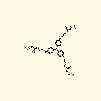 C=CC(=O)OCCOc1ccc(C(c2ccc(OCCOC(=O)C=C)cc2)c2ccc(OCCOC(=O)C=C)cc2)cc1